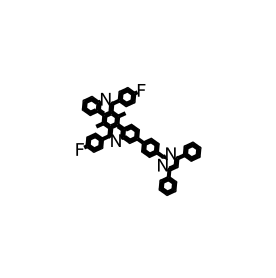 Cc1c2c(-c3ccc(F)cc3)nc3cc(-c4ccc(-c5nc(-c6ccccc6)cc(-c6ccccc6)n5)cc4)ccc3c2c(C)c2c(-c3ccc(F)cc3)nc3ccccc3c12